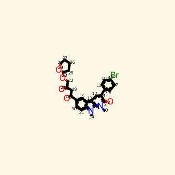 Cn1c(=O)c(-c2ccc(Br)cc2)cc2c3cc(C(=O)CC(=O)COC4CCCCO4)ccc3n(C)c21